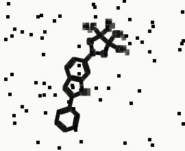 CC1(C)OB(c2ccc3cc(-c4ccccc4)[nH]c3c2)OC1(C)C